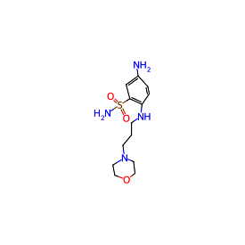 Nc1ccc(NCCCN2CCOCC2)c(S(N)(=O)=O)c1